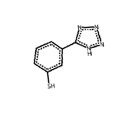 Sc1cccc(-c2nnn[nH]2)c1